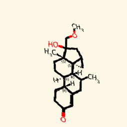 COCC1(O)CC2C[C@@]23[C@@H]2C(C)CC4=CC(=O)CC[C@@H]4[C@H]2CC[C@]13C